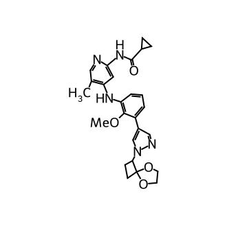 COc1c(Nc2cc(NC(=O)C3CC3)ncc2C)cccc1-c1cnn(C2CCC23OCCO3)c1